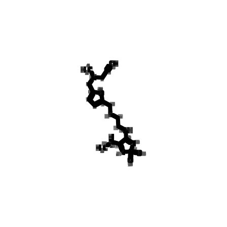 C#CCN(C)Cc1ccc(CSCCNC2=NS(=O)(=O)N=C2NC)o1